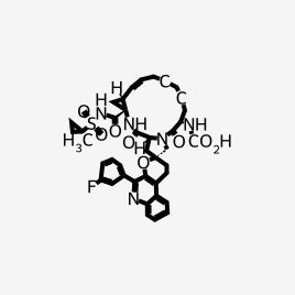 CC1(S(=O)(=O)NC(=O)[C@@]23C[C@H]2/C=C\CCCCC[C@H](NC(=O)O)C(=O)N2C[C@@]4(CCc5c(c(-c6cccc(F)c6)nc6ccccc56)O4)C[C@H]2C(=O)N3)CC1